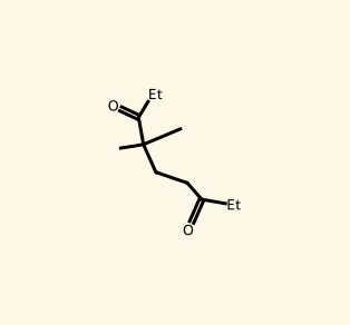 CCC(=O)CCC(C)(C)C(=O)CC